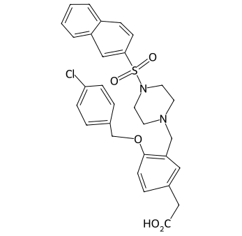 O=C(O)Cc1ccc(OCc2ccc(Cl)cc2)c(CN2CCN(S(=O)(=O)c3ccc4ccccc4c3)CC2)c1